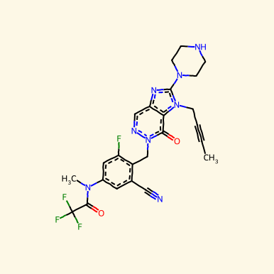 CC#CCn1c(N2CCNCC2)nc2cnn(Cc3c(F)cc(N(C)C(=O)C(F)(F)F)cc3C#N)c(=O)c21